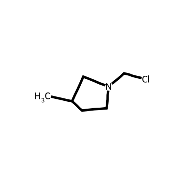 CC1CCN(CCl)C1